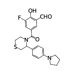 O=Cc1cc(C(=O)N2CCSCC2c2ccc(N3CCCC3)cc2)cc(F)c1O